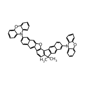 CC1(C)c2cc3cc(N4c5ccccc5Oc5ccccc54)ccc3cc2-c2c1ccc1c2oc2cc3cc(N4c5ccccc5Oc5ccccc54)ccc3cc21